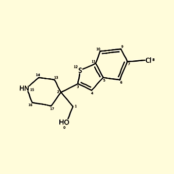 OCC1(c2cc3cc(Cl)ccc3s2)CCNCC1